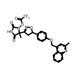 Cc1cc(COc2ccc(C3CC(C4(C)C(=O)NC(=O)N4OC(=O)C(F)(F)F)=NO3)cc2)c2ccccc2n1